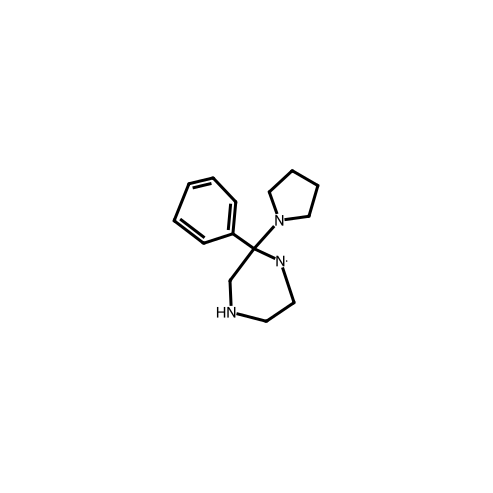 c1ccc(C2(N3CCCC3)CNCC[N]2)cc1